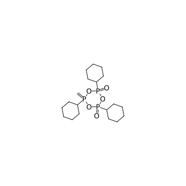 C=P1(C2CCCCC2)OP(=O)(C2CCCCC2)OP(=O)(C2CCCCC2)O1